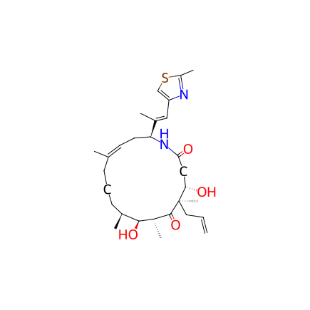 C=CC[C@@]1(C)C(=O)[C@H](C)[C@@H](O)[C@@H](C)CCC/C(C)=C\C[C@@H](/C(C)=C/c2csc(C)n2)NC(=O)C[C@@H]1O